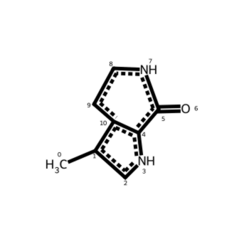 Cc1c[nH]c2c(=O)[nH]ccc12